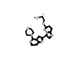 C[C@@H](N)COc1ccc2ncc(-c3cc4c(N5CCOCC5)nccc4o3)n2n1